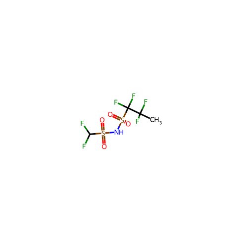 CC(F)(F)C(F)(F)S(=O)(=O)NS(=O)(=O)C(F)F